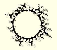 C/C=C/C[C@@H](C)[C@@H](O)[C@H]1C(=O)N[C@@H](CC)C(=O)N(C)[C@H](CC(CN(C)C)[N+](=O)[O-])C(=O)N(C)[C@@H](CC(C)(C)O)C(=O)N[C@@H](C(C)C)C(=O)N(C)[C@@H](CC(C)C)C(=O)N[C@@H](C)C(=O)N[C@H](C)C(=O)N(C)[C@@H](CC(C)C)C(=O)N(C)[C@@H](CC(C)C)C(=O)N(C)[C@@H](C(C)C)C(=O)N1C